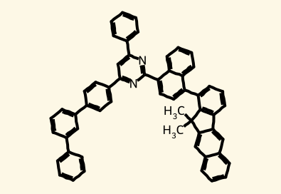 CC1(C)c2cc3ccccc3cc2-c2cccc(-c3ccc(-c4nc(-c5ccccc5)cc(-c5ccc(-c6cccc(-c7ccccc7)c6)cc5)n4)c4ccccc34)c21